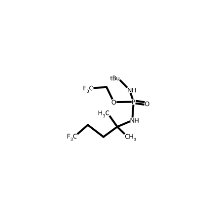 CC(C)(C)NP(=O)(NC(C)(C)CCC(F)(F)F)OCC(F)(F)F